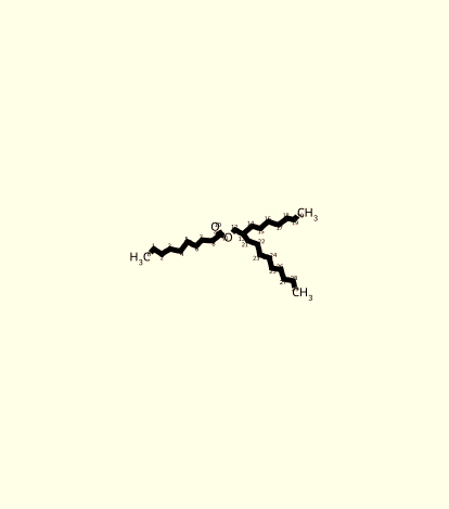 CCCCCCCCCC(=O)OCC(CCCCCCC)CCCCCCCCC